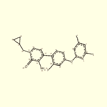 Cc1cc(C)nc(Oc2ccc(-c3ccn(CC4CC4)c(=O)c3N)c(F)c2)c1